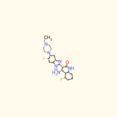 CCN1CCN(c2cc3nc(-c4c(N)c5c(F)cccc5[nH]c4=O)[nH]c3cc2F)CC1